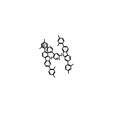 Cc1ccc(-c2ccc3c4ccc(-c5ccc(C)cc5C)cc4n(-c4cc(-c5ccc(C#N)cc5)c(-n5c6cc(-c7ccc(C)cc7C)ccc6c6ccc(-c7ccc(C)cc7C)cc65)cn4)c3c2)c(C)c1